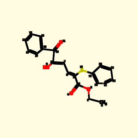 CCOC(=O)C(=CC=C(O)C(=O)c1ccccc1)Sc1ccccc1